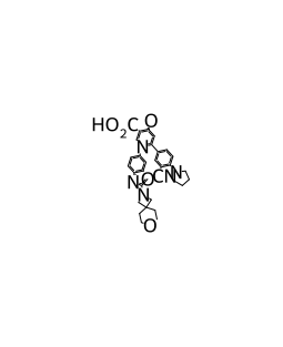 N#Cc1cc(-c2cc(=O)c(C(=O)O)cn2-c2ccc3nc(N4CC5(CCOCC5)C4)oc3c2)ccc1N1CCCC1